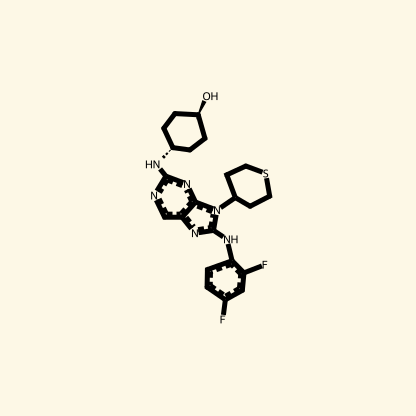 O[C@H]1CC[C@H](Nc2ncc3nc(Nc4ccc(F)cc4F)n(C4CCSCC4)c3n2)CC1